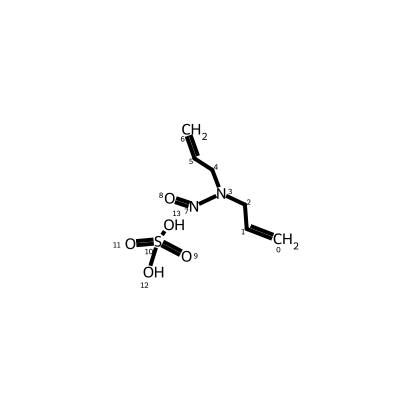 C=CCN(CC=C)N=O.O=S(=O)(O)O